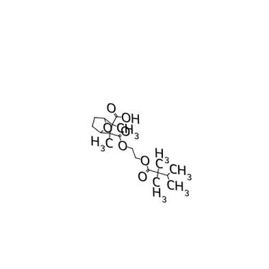 CC(C)C(C)(C)C(=O)OCCOC(=O)C1(C)C2CCC(O2)C1(C)C(=O)O